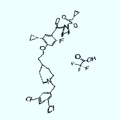 O=C(NS(=O)(=O)C1CC1)c1cc(C2CC2)c(OCCC2CCN(Cc3cc(Cl)cc(Cl)c3)CC2)cc1F.O=C(O)C(F)(F)F